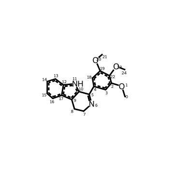 COc1cc(C2=NCCc3c2[nH]c2ccccc32)cc(OC)c1OC